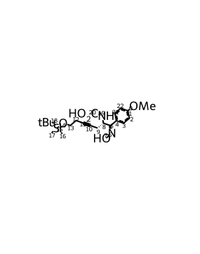 COc1ccc(/C(=N/O)[C@H](CC#CCCO[Si](C)(C)C(C)(C)C)NC(=O)O)cc1